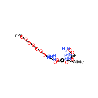 CCCOCCOCCOCCOCCOCCOCCOCCn1cc(CNC(=O)OCc2ccc(NC(=O)[C@H](CCCNC)NC(=O)[C@@H](NC(=O)CON)C(C)C)cc2)nn1